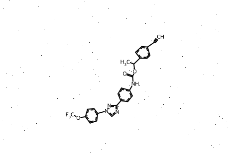 C#Cc1ccc(C(C)OC(=O)Nc2ccc(-c3ncn(-c4ccc(OC(F)(F)F)cc4)n3)cc2)cc1